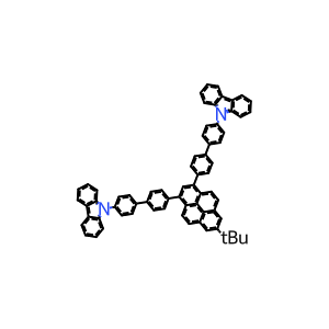 CC(C)(C)c1cc2ccc3c(-c4ccc(-c5ccc(-n6c7ccccc7c7ccccc76)cc5)cc4)cc(-c4ccc(-c5ccc(-n6c7ccccc7c7ccccc76)cc5)cc4)c4ccc(c1)c2c34